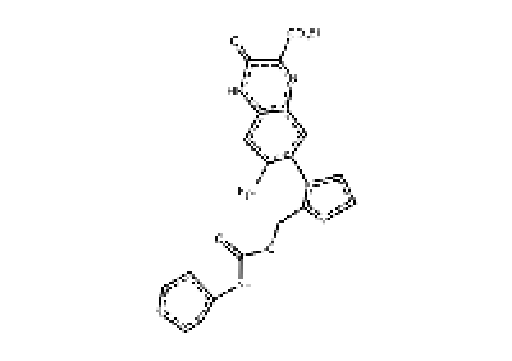 CCOC(=O)c1nc2cc(-n3ccnc3COC(=O)Nc3ccncc3)c(C(F)(F)F)cc2[nH]c1=O